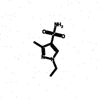 CCn1cc(S(N)(=O)=O)c(C)n1